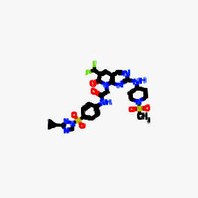 CS(=O)(=O)N1CCC(Nc2ncc3cc(C(F)F)c(=O)n(CC(=O)Nc4ccc(S(=O)(=O)n5cnc(C6CC6)n5)cc4)c3n2)CC1